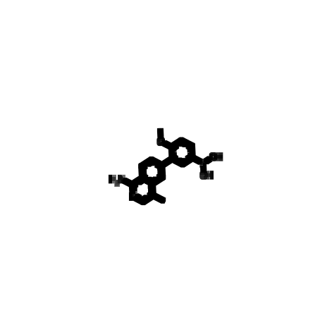 COc1ccc(B(O)O)cc1-c1ccc2c(N)ncc(C)c2c1